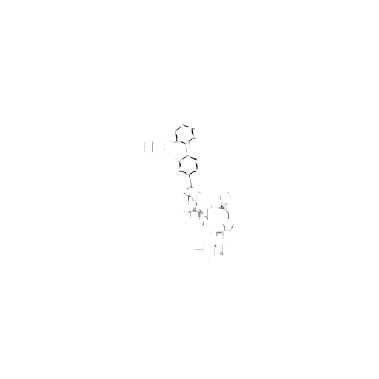 Cc1ccccc1-c1ccc(C2CN(C(=O)N3CC[C@@H](CN)OCC(=O)C3)C2)cc1